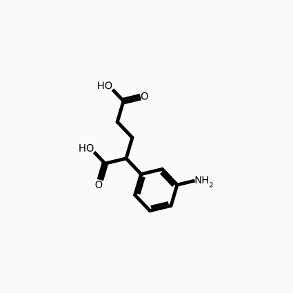 Nc1cccc(C(CCC(=O)O)C(=O)O)c1